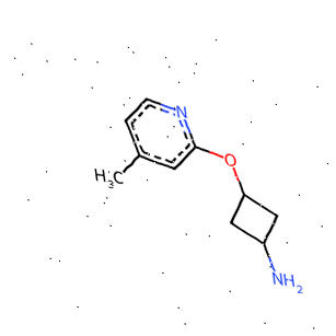 Cc1ccnc(OC2CC(N)C2)c1